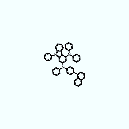 c1ccc(N(c2ccc(-c3cccc4ccccc34)cc2)c2cc(N(c3ccccc3)c3ccccc3)c3c4ccccc4n(-c4ccccc4)c3c2)cc1